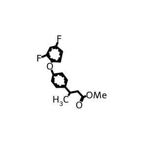 COC(=O)CC(C)c1ccc(Oc2ccc(F)cc2F)cc1